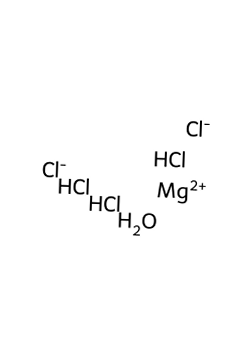 Cl.Cl.Cl.O.[Cl-].[Cl-].[Mg+2]